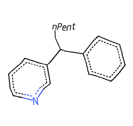 CCCCCC(c1ccccc1)c1cccnc1